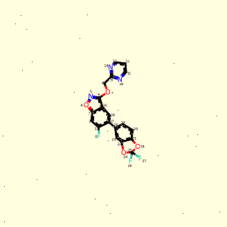 Fc1cc2onc(OCc3ncccn3)c2cc1-c1ccc2c(c1)OC(F)(F)O2